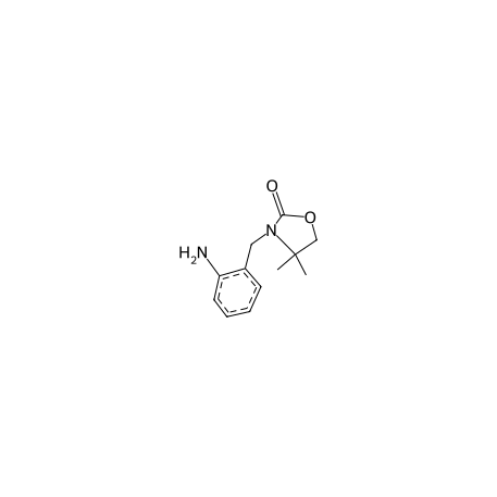 CC1(C)COC(=O)N1Cc1ccccc1N